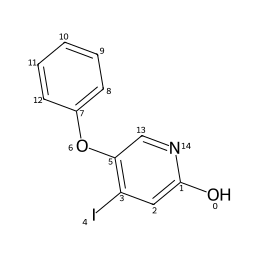 Oc1cc(I)c(Oc2ccccc2)cn1